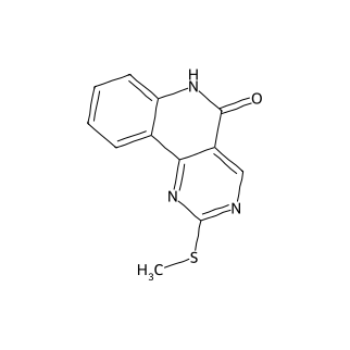 CSc1ncc2c(=O)[nH]c3ccccc3c2n1